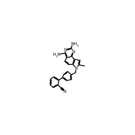 Cc1cc2c3nc(N)nc(N)c3ccc2n1Cc1ccc(-c2ccccc2C#N)cc1